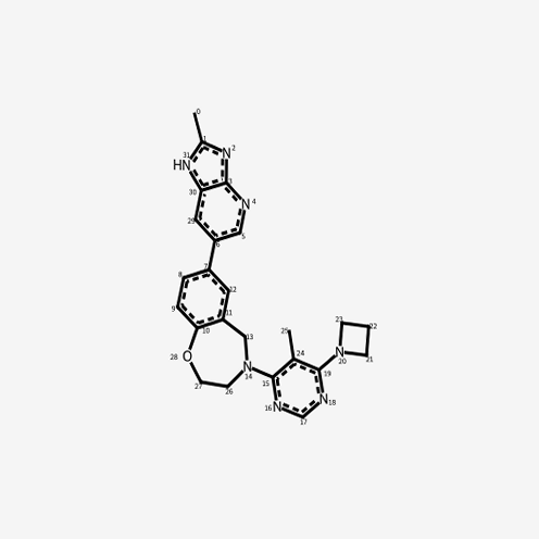 Cc1nc2ncc(-c3ccc4c(c3)CN(c3ncnc(N5CCC5)c3C)CCO4)cc2[nH]1